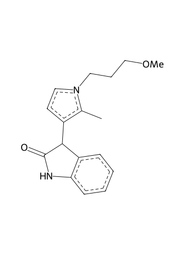 COCCCn1ccc(C2C(=O)Nc3ccccc32)c1C